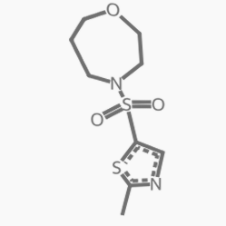 Cc1ncc(S(=O)(=O)N2CCCOCC2)s1